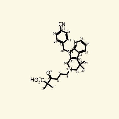 CC(C)(C(=O)O)C(=O)CCCN1Cc2c(c3cccnc3n2Cc2ccc(C#N)cc2)C(C)(C)C1